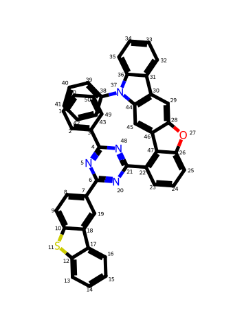 c1ccc(-c2nc(-c3ccc4sc5ccccc5c4c3)nc(-c3cccc4oc5cc6c7ccccc7n(-c7ccccc7)c6cc5c34)n2)cc1